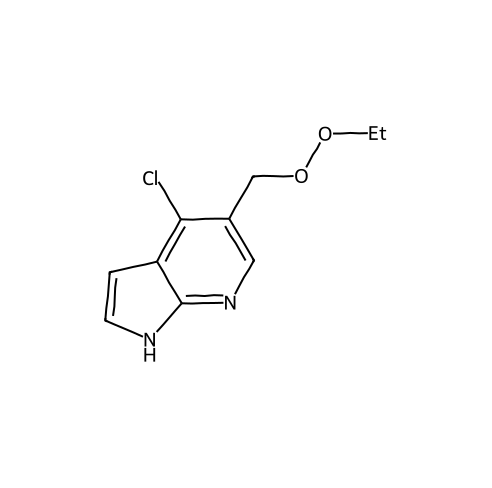 CCOOCc1cnc2[nH]ccc2c1Cl